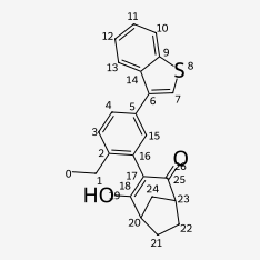 CCc1ccc(-c2csc3ccccc23)cc1C1=C(O)C2CCC(C2)C1=O